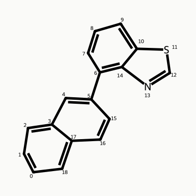 c1ccc2cc(-c3cccc4scnc34)ccc2c1